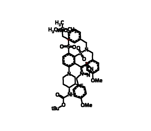 COc1ccc(CN(Cc2ccc(OC)cc2)S(=O)(=O)c2c(S(=O)(=O)CC[Si](C)(C)C)ccc(N3CC[C@H](NC(=O)OC(C)(C)C)[C@H](F)C3)c2-c2nnnn2Cc2ccc(OC)cc2)cc1